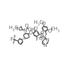 COc1ccc(CN(c2ccncn2)S(=O)(=O)c2cc(Cl)c(O[C@H]3CC[C@H](c4cccc(C(F)(F)F)c4)C[C@@H]3N(C(=O)O)C3CN(C)C3)cc2F)c(OC)c1